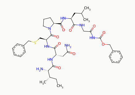 CC[C@H](C)[C@H](N)C(=O)N[C@@H](CC(N)=O)C(=O)N[C@@H](CSCc1ccccc1)C(=O)N1CCC[C@H]1C(=O)N[C@@H](CC(C)C)C(=O)NCC(=O)NC(=O)OCc1ccccc1